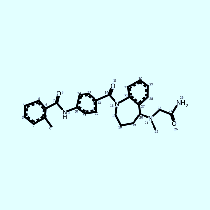 Cc1ccccc1C(=O)Nc1ccc(C(=O)N2CCCC(N(C)CC(N)=O)c3ccccc32)cc1